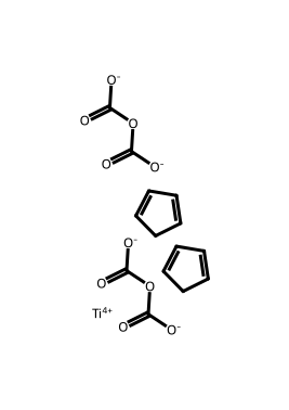 C1=CCC=C1.C1=CCC=C1.O=C([O-])OC(=O)[O-].O=C([O-])OC(=O)[O-].[Ti+4]